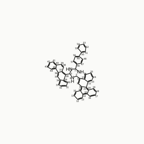 NC(NC(NCc1cc2c3ccccc3c3ccccc3c2c2ccccc12)c1c2ccccc2cc2c1ccc1ccccc12)c1ccc(-c2ccccc2)cc1